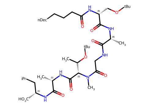 CCCCCCCCCCCCCC(=O)N[C@H](COC(C)(C)C)C(=O)N[C@H](C)C(=O)NCC(=O)N(C)[C@H](C(=O)N[C@@H](C)C(=O)N[C@@H](CC(C)C)C(=O)O)C(C)OC(C)(C)C